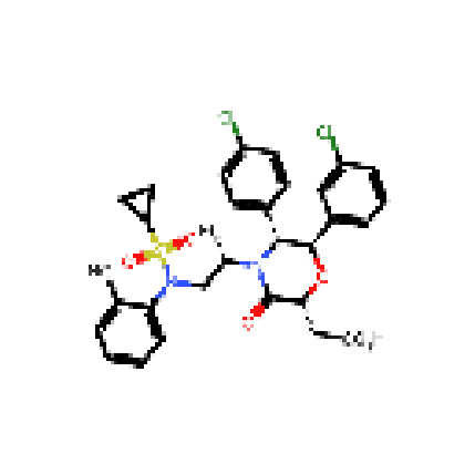 CC[C@@H](CN(c1ccccc1C#N)S(=O)(=O)C1CC1)N1C(=O)[C@@H](CC(=O)O)O[C@H](c2cccc(Cl)c2)[C@H]1c1ccc(Cl)cc1